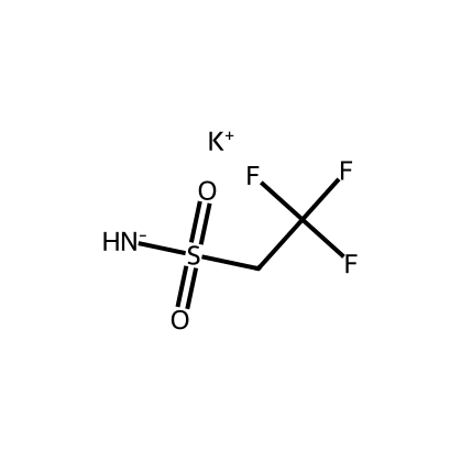 [K+].[NH-]S(=O)(=O)CC(F)(F)F